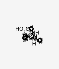 O=C(O)c1cccc(NC(=O)c2nc(-c3ccccc3)[nH]c2CCC23CC4CC(CC(C4)C2)C3)c1